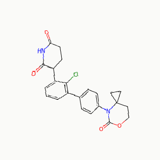 O=C1CCC(c2cccc(-c3ccc(N4C(=O)OCCC45CC5)cc3)c2Cl)C(=O)N1